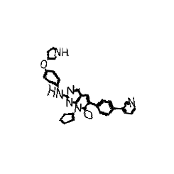 O=c1c(-c2ccc(-c3cccnc3)cc2)cc2cnc(Nc3ccc(OC4CCNC4)cc3)nc2n1C1CCCC1